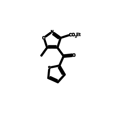 CCOC(=O)c1noc(C)c1C(=O)c1cccs1